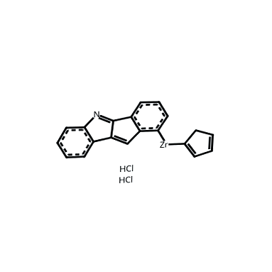 C1=CC[C]([Zr][c]2cccc3c2C=C2C3=Nc3ccccc32)=C1.Cl.Cl